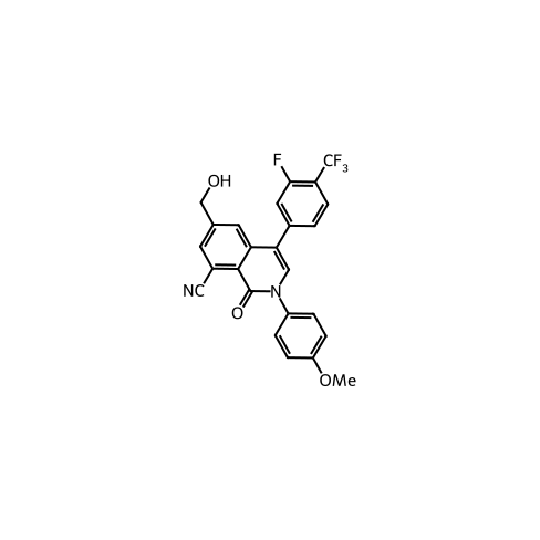 COc1ccc(-n2cc(-c3ccc(C(F)(F)F)c(F)c3)c3cc(CO)cc(C#N)c3c2=O)cc1